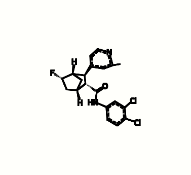 Cc1cc([C@@H]2[C@@H]3C[C@@H](C[C@@H]3F)[C@H]2C(=O)Nc2ccc(Cl)c(Cl)c2)ccn1